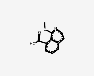 COc1nccc2cccc(C(=O)O)c12